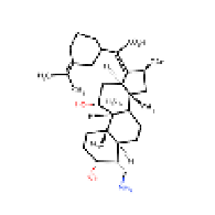 CC(=O)O[C@H]1C[C@@]2(C)[C@@H](C[C@@H](O)[C@H]3[C@@]4(C)CC[C@@H](O)[C@@H](CN)[C@@H]4CC[C@@]32C)/C1=C(/C(=O)O)C1CCCC(=C(C)C)C1